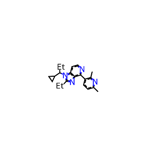 CCc1nc2c(-c3ccc(C)nc3C)nccc2n1C(CC)C1CC1